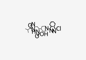 CC(C)c1nc(CC(NC(=O)O)C2CCN(c3nnc(Cl)c4ccccc34)CC2)no1